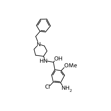 COc1cc(N)c(Cl)cc1C(O)NC1CCN(Cc2ccccc2)CC1